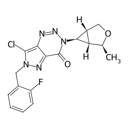 C[C@@H]1OC[C@@H]2[C@H]1[C@H]2n1nnc2c(Cl)n(Cc3ccccc3F)nc2c1=O